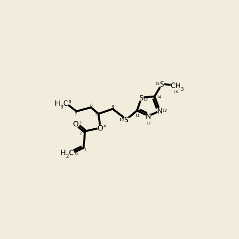 C=CC(=O)OC(CCC)CSc1nnc(SC)s1